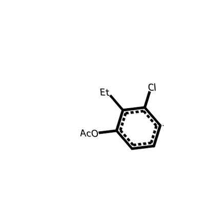 CCc1c(Cl)[c]ccc1OC(C)=O